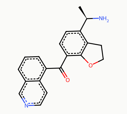 C[C@@H](N)c1ccc(C(=O)c2cccc3cnccc23)c2c1CCO2